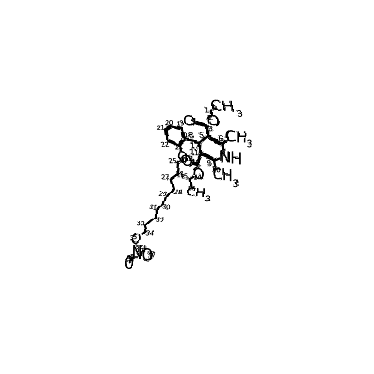 CCOC(=O)C1=C(C)NC(C)=C(C(=O)OCC)C1c1ccccc1OCCCCCCCCCCO[N+](=O)[O-]